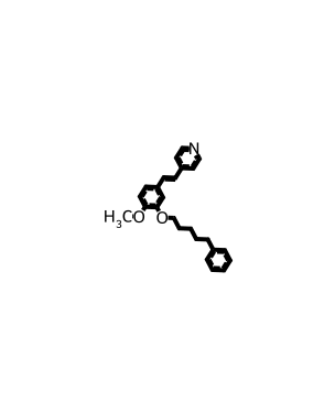 COc1ccc(C=Cc2ccncc2)cc1OCCCCCc1ccccc1